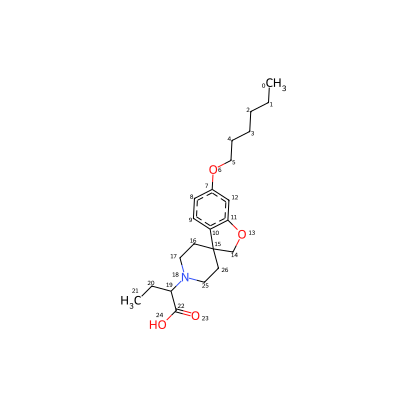 CCCCCCOc1ccc2c(c1)OCC21CCN(C(CC)C(=O)O)CC1